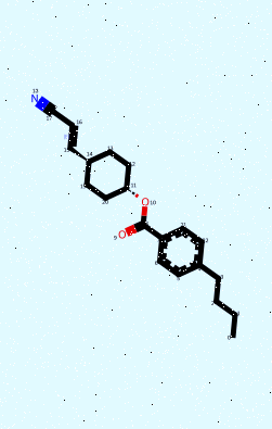 CCCCc1ccc(C(=O)O[C@H]2CC[C@H](/C=C/C#N)CC2)cc1